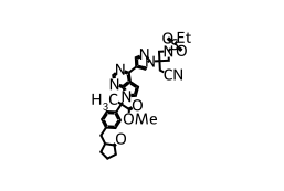 CCS(=O)(=O)N1CC(CC#N)(n2cc(-c3ncnc4c3ccn4C(C)(C(=O)OC)c3ccc(CC4CCCC4=O)cc3)cn2)C1